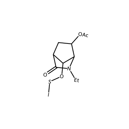 CCN1C(=O)C2CC(OC(C)=O)C1C2OSI